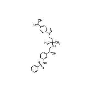 CC(C)(CCn1ccc2cc(C(=O)O)ccc21)NC[C@@H](O)c1cccc(NS(=O)(=O)c2ccccc2)c1